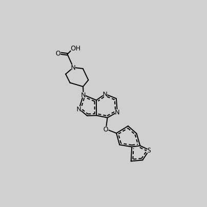 O=C(O)N1CCC(n2ncc3c(Oc4ccc5sccc5c4)ncnc32)CC1